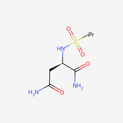 CC(C)S(=O)(=O)N[C@H](CC(N)=O)C(N)=O